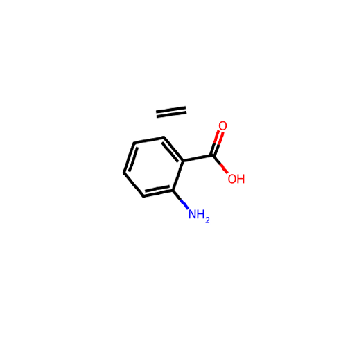 C=C.Nc1ccccc1C(=O)O